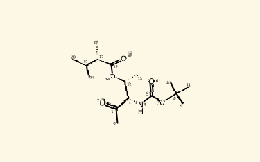 CC(=O)[C@@H](NC(=O)OC(C)(C)C)[C@@H](C)OC(=O)[C@@H](C)C(C)C